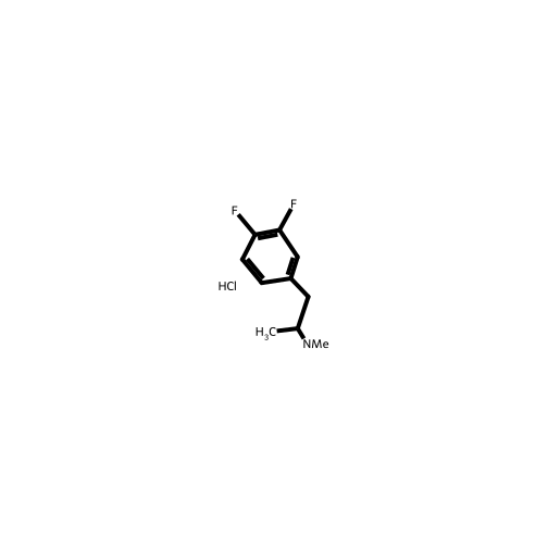 CNC(C)Cc1ccc(F)c(F)c1.Cl